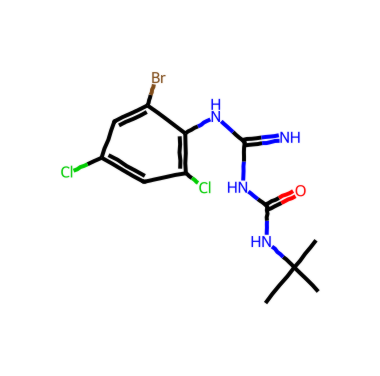 CC(C)(C)NC(=O)NC(=N)Nc1c(Cl)cc(Cl)cc1Br